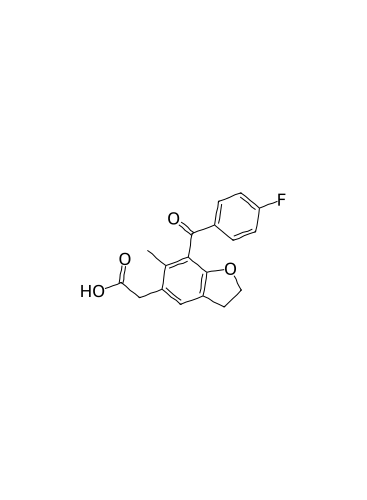 Cc1c(CC(=O)O)cc2c(c1C(=O)c1ccc(F)cc1)OCC2